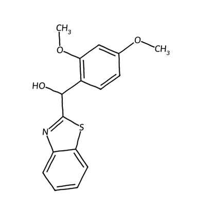 COc1ccc(C(O)c2nc3ccccc3s2)c(OC)c1